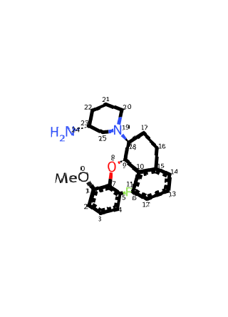 COc1cccc(F)c1O[C@H]1c2ccccc2CC[C@@H]1N1CCC[C@@H](N)C1